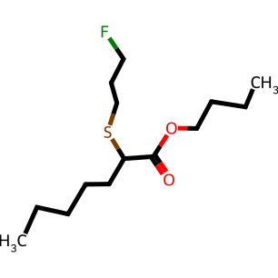 CCCCCC(SCCCF)C(=O)OCCCC